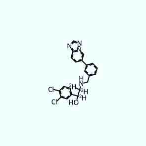 [2H]C([2H])(NCc1cccc(-c2ccc3ncnn3c2)c1)C([2H])(O)c1ccc(Cl)c(Cl)c1